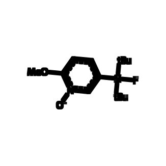 COc1ccc([Si](F)(C(C)(C)C)C(C)(C)C)c[n+]1[O-]